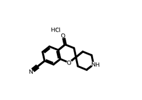 Cl.N#Cc1ccc2c(c1)OC1(CCNCC1)CC2=O